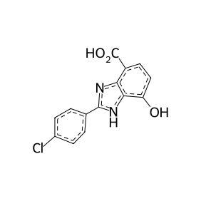 O=C(O)c1ccc(O)c2[nH]c(-c3ccc(Cl)cc3)nc12